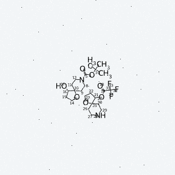 CC(C)(C)OC(=O)N1CCC2(CC1)OCCC2O.O=C(OC1CCOC12CCNCC2)C(F)(F)F